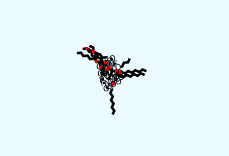 CCCCCCCCS(=O)(=O)N(F)C(=C(C(=O)OCCCC)C(N(F)S(=O)(=O)CCCCCCCC)(N(F)S(=O)(=O)CCCCCCCC)C(N(F)S(=O)(=O)CCCCCCCC)(N(F)S(=O)(=O)CCCCCCCC)N(F)S(=O)(=O)CCCCCCCC)N(F)S(=O)(=O)CCCCCCCC